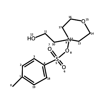 Cc1ccc(S(=O)(=O)O[N+]2(CCO)CCOCC2)cc1